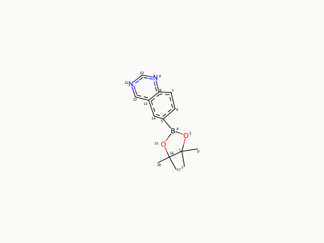 CC1(C)OB(c2ccc3ncncc3c2)OC1(C)C